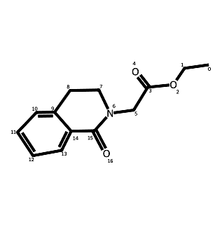 CCOC(=O)CN1CCc2ccccc2C1=O